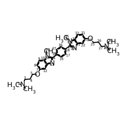 CN(C)CCCOc1ccc2c(c1)nc(-c1ccc(-c3nc4cc(OCCCN(C)C)ccc4n3C)cc1)n2C